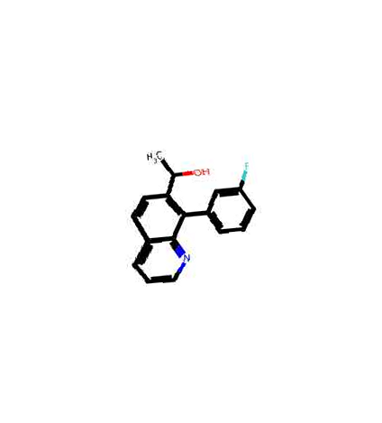 CC(O)c1ccc2cccnc2c1-c1cccc(F)c1